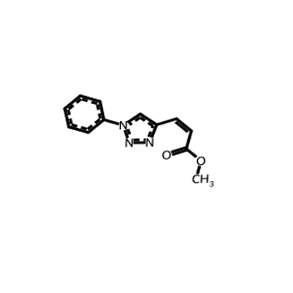 COC(=O)/C=C\c1cn(-c2ccccc2)nn1